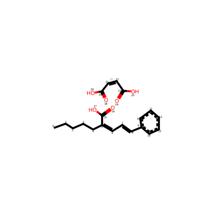 CCCCCC(=CC=Cc1ccccc1)C(=O)O.O=C(O)/C=C\C(=O)O